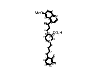 COc1ccc2nccc(C(F)CC[C@@H]3CCN(CCCCc4cccc(F)c4F)C[C@@H]3C(=O)O)c2c1